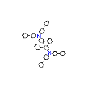 C1=CCC(c2cc(N(c3ccc(-c4ccccc4)cc3)c3ccc(-c4ccccc4)cc3)cc(-c3ccccc3)c2-c2ccc(N(c3ccc(-c4ccccc4)cc3)c3ccc(-c4ccccc4)cc3)cc2)C=C1